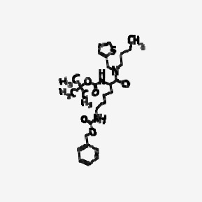 CCCCN(Cc1cccs1)C(=O)C(CCCCNC(=O)OCc1ccccc1)NC(=O)OC(C)(C)C